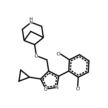 Clc1cccc(Cl)c1-c1noc(C2CC2)c1COC1C2CNCC1C2